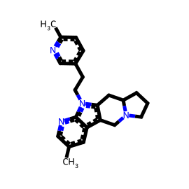 Cc1cnc2c(c1)c1c(n2CCc2ccc(C)nc2)CC2CCCN2C1